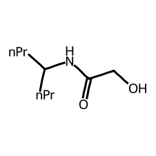 CCCC(CCC)NC(=O)CO